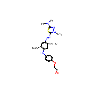 COc1cc(N=Nc2sc(N(C(C)C)C(C)C)n[n+]2C)c(NC(C)=O)cc1Nc1ccc(OCCO)cc1